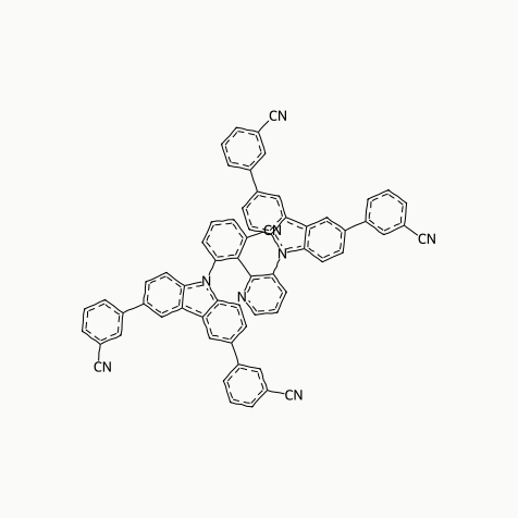 N#Cc1cccc(-c2ccc3c(c2)c2cc(-c4cccc(C#N)c4)ccc2n3-c2cccnc2-c2c(C#N)cccc2-n2c3ccc(-c4cccc(C#N)c4)cc3c3cc(-c4cccc(C#N)c4)ccc32)c1